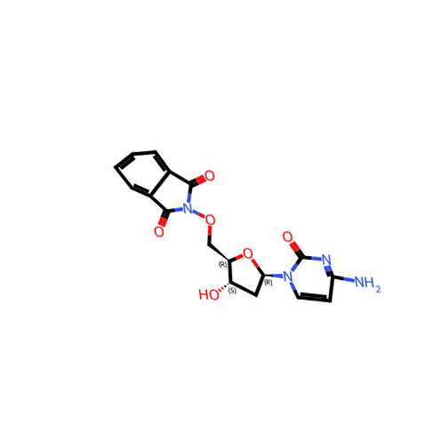 Nc1ccn([C@H]2C[C@H](O)[C@@H](CON3C(=O)c4ccccc4C3=O)O2)c(=O)n1